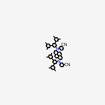 Cc1cc(C)cc(-c2cc(-c3cc(C)cc(C)c3)cc(N(c3cccc(C#N)c3)c3ccc4ccc5c(N(c6cccc(C#N)c6)c6cc(-c7cc(C)cc(C)c7)cc(-c7cc(C)cc(C)c7)c6)ccc6ccc3c4c65)c2)c1